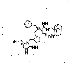 CCC[C@@H]1CN([C@H](Cc2ccccc2)CN2CCCC2CN2C(=N)NC[C@H]2CC(C)C)C(=N)N1CC12CC3CC(CC(C3)C1)C2